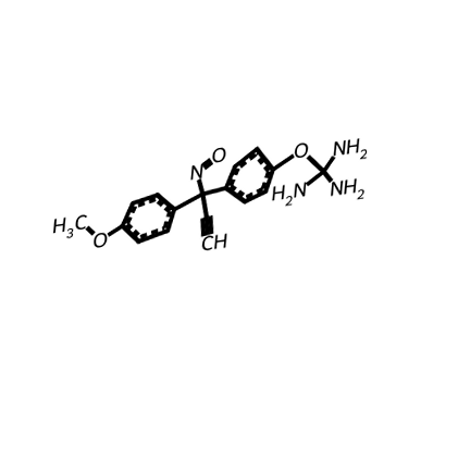 C#CC(N=O)(c1ccc(OC)cc1)c1ccc(OC(N)(N)N)cc1